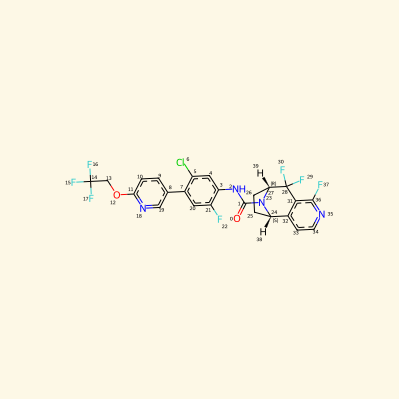 O=C(Nc1cc(Cl)c(-c2ccc(OCC(F)(F)F)nc2)cc1F)N1[C@H]2CC[C@@H]1C(F)(F)c1c2ccnc1F